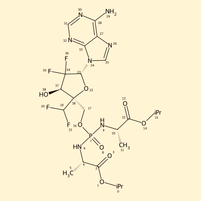 CC(C)OC(=O)[C@H](C)NP(=O)(N[C@@H](C)C(=O)OC(C)C)OC[C@@]1(C(F)F)O[C@@H](n2cnc3c(N)ncnc32)C(F)(F)[C@@H]1O